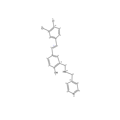 Oc1ccc(/C=C/c2ccc(Cl)c(Cl)c2)cc1CNCc1ccncc1